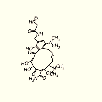 CCNCC(=O)NCc1cc(N(C)C)c2c(c1O)C(=O)/C=C(\O)[C@H](O)C(=O)/C(C(N)=O)=C(/O)C(N(C)C)CCCC2